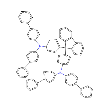 C1=CC(N(c2ccc(-c3ccccc3)cc2)c2ccc(-c3ccccc3)cc2)CC=C1C1(c2ccc(N(c3ccc(-c4ccccc4)cc3)c3ccc(-c4ccccc4)cc3)cc2)c2ccccc2-c2ccccc21